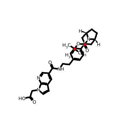 CC(C)(C)OC(=O)N1[C@@H]2CC[C@H]1CN(c1ccc(CCNC(=O)c3cnc4c(ccn4CC(=O)O)c3)cc1)C2